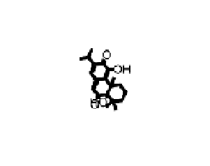 CC(C)C1=CC2=CC(=O)C3(O)C(C)(C)CCCC3(C)C2=C(O)C1=O